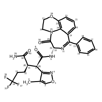 Cc1conc1[C@H](C(=O)N[C@H]1N=C(c2ccccc2)c2cccc3c2N(CCO3)C1=O)[C@@H](CCC(F)(F)F)C(N)=O